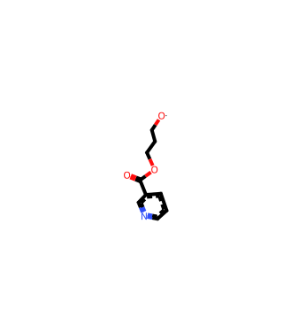 [O]CCCOC(=O)c1cccnc1